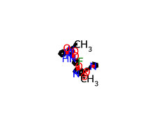 CCCCn1c(=O)c(C(=O)Nc2ccc(Oc3ccnc4cc(OC)c(OCCCN5CCCC5)cc34)c(F)c2)nn(-c2ccccc2)c1=O